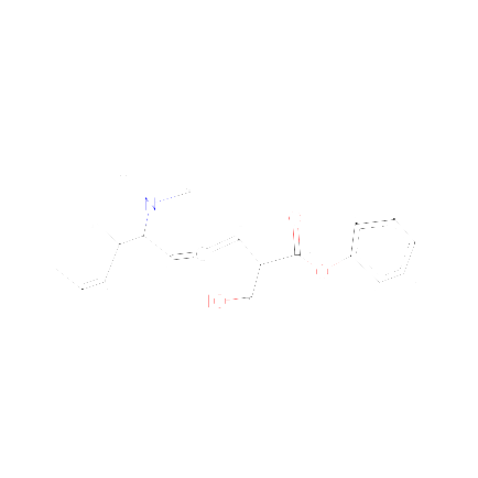 C/C=C\C(C)C(C=C=CC(CO)C(=O)Oc1ccccc1)N(C)C